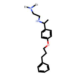 CCN(CC)CCNC(C)c1ccc(OCCCc2ccccc2)cc1